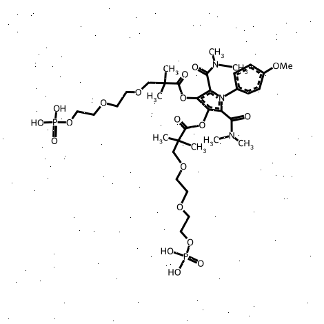 COc1ccc(-n2c(C(=O)N(C)C)c(OC(=O)C(C)(C)COCCOCCOP(=O)(O)O)c(OC(=O)C(C)(C)COCCOCCOP(=O)(O)O)c2C(=O)N(C)C)cc1